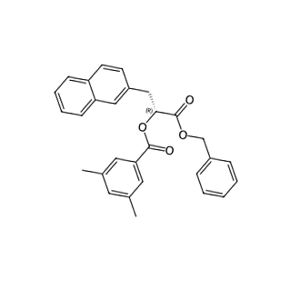 Cc1cc(C)cc(C(=O)O[C@H](Cc2ccc3ccccc3c2)C(=O)OCc2ccccc2)c1